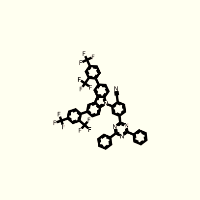 N#Cc1ccc(-c2nc(-c3ccccc3)nc(-c3ccccc3)n2)cc1-n1c2ccc(-c3ccc(C(F)(F)F)cc3C(F)(F)F)cc2c2cc(-c3ccc(C(F)(F)F)cc3C(F)(F)F)ccc21